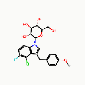 CCOc1ccc(Cc2cn([C@@H]3O[C@H](CO)[C@@H](O)[C@H](O)[C@H]3O)c3ccc(F)c(Cl)c23)cc1